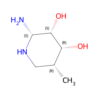 C[C@@H]1CN[C@H](N)[C@H](O)[C@@H]1O